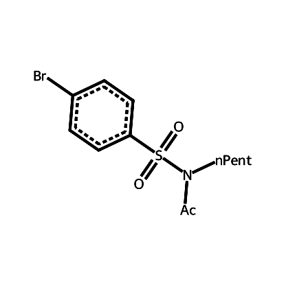 CCCCCN(C(C)=O)S(=O)(=O)c1ccc(Br)cc1